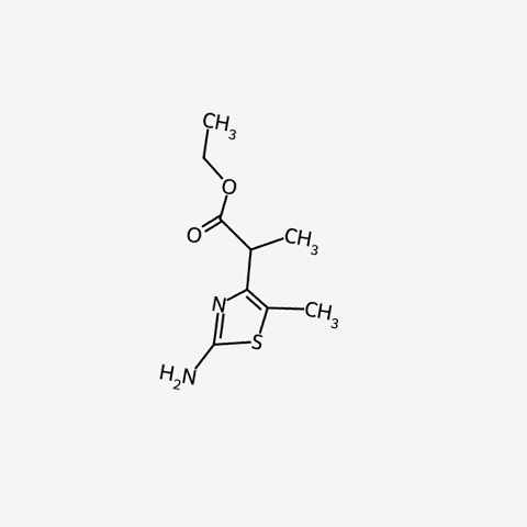 CCOC(=O)C(C)c1nc(N)sc1C